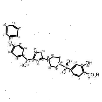 O=C(O)c1ccc(S(=O)(=O)N2CCN(c3nc(C(O)c4ccc(Oc5ccccc5)cc4)ns3)CC2)cc1O